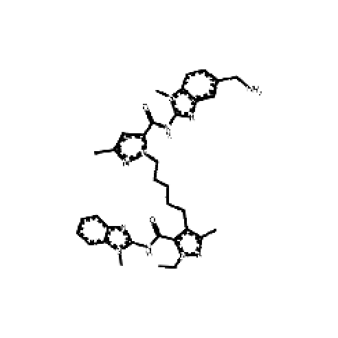 CCn1nc(C)c(CCCCCn2nc(C)cc2C(=O)Nc2nc3cc(CN)ccc3n2C)c1C(=O)Nc1nc2ccccc2n1C